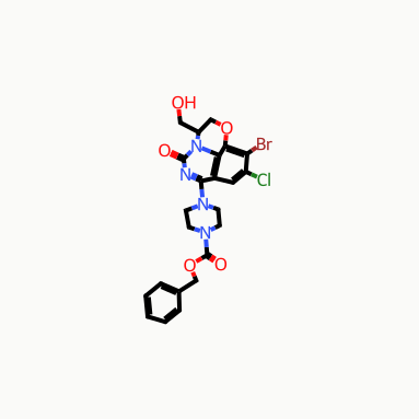 O=C(OCc1ccccc1)N1CCN(c2nc(=O)n3c4c(c(Br)c(Cl)cc24)OCC3CO)CC1